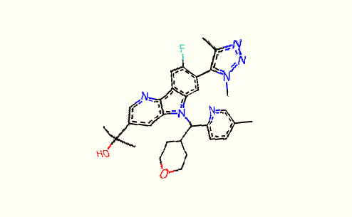 Cc1ccc(C(C2CCOCC2)n2c3cc(-c4c(C)nnn4C)c(F)cc3c3ncc(C(C)(C)O)cc32)nc1